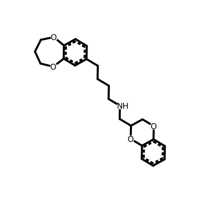 c1ccc2c(c1)OCC(CNCCCCc1ccc3c(c1)OCCCO3)O2